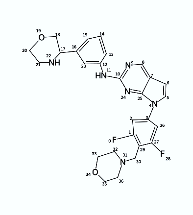 Fc1cc(-n2ccc3cnc(Nc4cccc(C5COCCN5)c4)nc32)cc(F)c1CN1CCOCC1